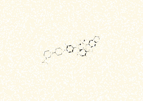 CN(C)C1CCCN(C2CCN(c3cc(Cl)c(Nc4ncc(Cl)c(Nc5cc6c(cc5NS(C)(=O)=O)CCO6)n4)cc3Cl)CC2)C1